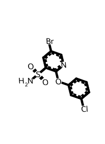 NS(=O)(=O)c1cc(Br)cnc1Oc1cccc(Cl)c1